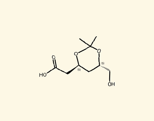 CC1(C)O[C@H](CO)C[C@@H](CC(=O)O)O1